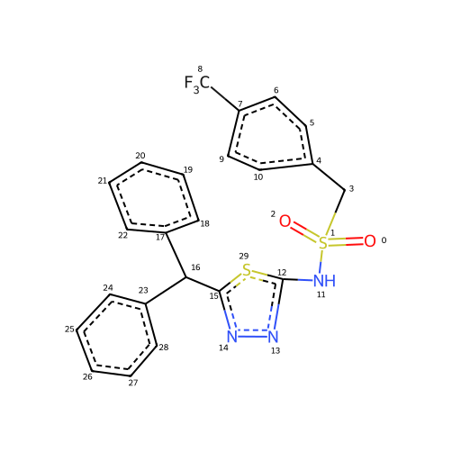 O=S(=O)(Cc1ccc(C(F)(F)F)cc1)Nc1nnc(C(c2ccccc2)c2ccccc2)s1